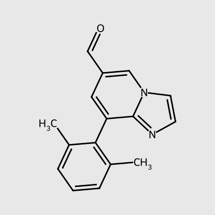 Cc1cccc(C)c1-c1cc(C=O)cn2ccnc12